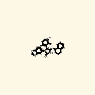 O=C1NC(=NC2CCCc3ccccc32)C(c2c(F)ccc(Cl)c2F)N1c1ccc2[nH]cnc2c1